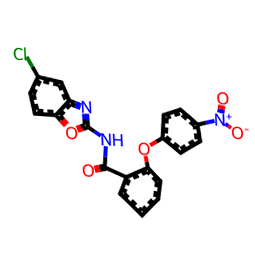 O=C(Nc1nc2cc(Cl)ccc2o1)c1ccccc1Oc1ccc([N+](=O)[O-])cc1